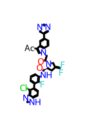 CC(=O)c1cn(CC(=O)N2CC(=C(F)F)C[C@H]2C(=O)Nc2cccc(-c3ccc4[nH]cnc4c3Cl)c2F)c2ccc(-c3cncnc3)cc12